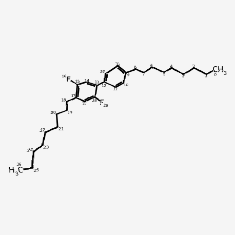 CCCCCCCCCc1ccc(-c2cc(F)c(CCCCCCCCC)cc2F)cc1